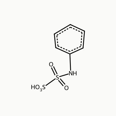 O=S(=O)(O)S(=O)(=O)Nc1ccccc1